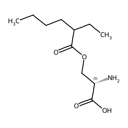 CCCCC(CC)C(=O)OC[C@H](N)C(=O)O